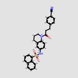 N#Cc1ccc(CCC(=O)N2CCCc3cc(NS(=O)(=O)c4cccc5ccccc45)ccc32)cc1